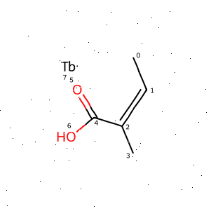 CC=C(C)C(=O)O.[Tb]